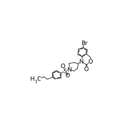 CCCc1ccc(S(=O)(=O)N2CCC(N3C(=O)OCc4cc(Br)ccc43)CC2)cc1